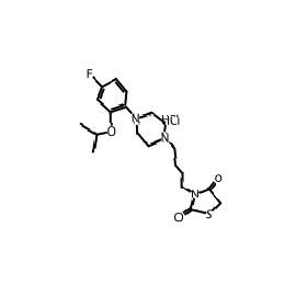 CC(C)Oc1cc(F)ccc1N1CCN(CCCCN2C(=O)CSC2=O)CC1.Cl